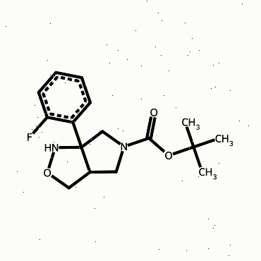 CC(C)(C)OC(=O)N1CC2CONC2(c2ccccc2F)C1